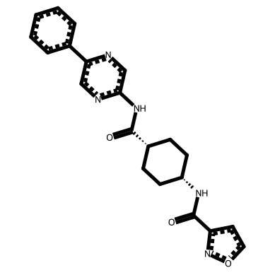 O=C(N[C@H]1CC[C@@H](C(=O)Nc2cnc(-c3ccccc3)cn2)CC1)c1ccon1